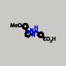 COc1cccc(-c2cccc3nc(Nc4ccc(C(=O)O)cc4)nn23)c1